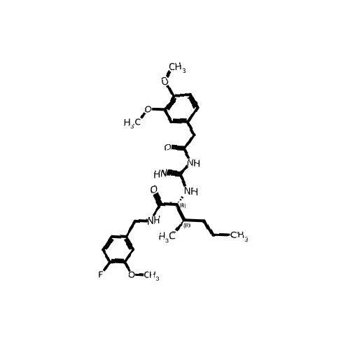 CCC[C@@H](C)[C@@H](NC(=N)NC(=O)Cc1ccc(OC)c(OC)c1)C(=O)NCc1ccc(F)c(OC)c1